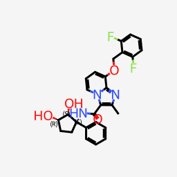 Cc1nc2c(OCc3c(F)cccc3F)cccn2c1C(=O)N[C@]1(c2ccccc2)CC[C@@H](O)[C@H]1O